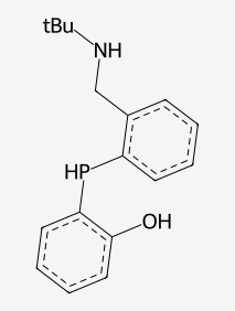 CC(C)(C)NCc1ccccc1Pc1ccccc1O